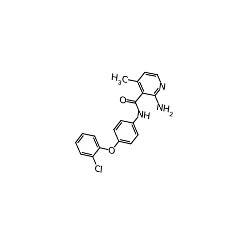 Cc1ccnc(N)c1C(=O)Nc1ccc(Oc2ccccc2Cl)cc1